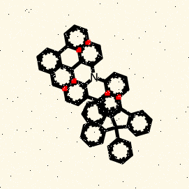 c1ccc(-c2cccc3cccc(-c4ccccc4N(c4ccccc4-c4ccc5c(c4)C(c4ccccc4)(c4ccccc4)c4ccccc4-5)c4cccc5sc6ccccc6c45)c23)cc1